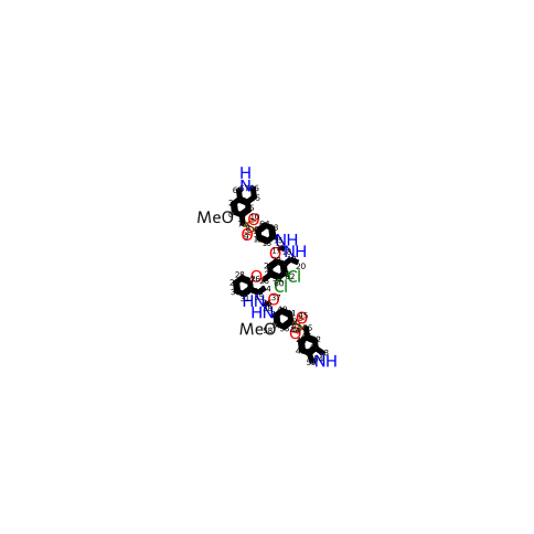 COc1cc2c(cc1CS(=O)(=O)c1ccc(NC(=O)NC(C)c3ccc(COc4ccccc4C(C)NC(=O)Nc4ccc(S(=O)(=O)Cc5ccc6c(c5)CNC6)cc4OC)c(Cl)c3Cl)cc1)CCNC2